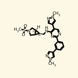 Cn1cc(-c2cccc(-c3ncc(-c4cnn(C)c4)c(NC[C@H]4C5CN(S(C)(=O)=O)C[C@H]54)n3)c2)cn1